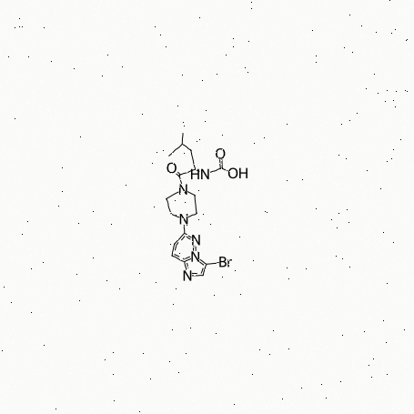 CC(C)CC(NC(=O)O)C(=O)N1CCN(c2ccc3ncc(Br)n3n2)CC1